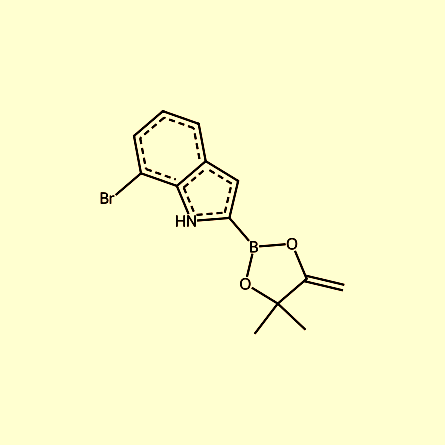 C=C1OB(c2cc3cccc(Br)c3[nH]2)OC1(C)C